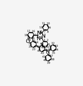 c1ccc(-c2nc(-c3ccccc3)nc(-c3cccc4oc5ccc(-c6ccc(N(c7ccccc7)c7ccccc7)cc6)cc5c34)n2)cc1